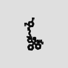 C[N+]1(CCCSc2ccc(F)cc2F)CCC(C(C(N)=O)(c2ccccc2)c2ccccc2)C1